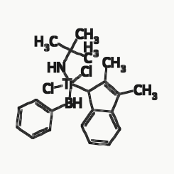 CC1=C(C)[CH]([Ti]([Cl])([Cl])([BH]c2ccccc2)[NH]C(C)(C)C)c2ccccc21